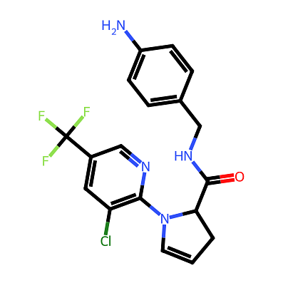 Nc1ccc(CNC(=O)C2CC=CN2c2ncc(C(F)(F)F)cc2Cl)cc1